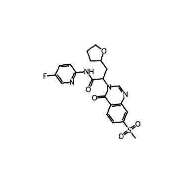 CS(=O)(=O)c1ccc2c(=O)n(C(CC3CCCO3)C(=O)Nc3ccc(F)cn3)cnc2c1